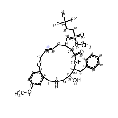 COc1ccc2c(c1)CNC[C@@H](O)[C@H](Cc1ccccc1)NC(=O)[C@@H](N(C)S(=O)(=O)CCC(F)(F)F)CC/C=C/CO2